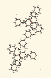 Cc1cc(-c2ccc(N(c3cccc(-c4ccccc4)c3)c3ccccc3-c3ccc4sc5ccccc5c4c3)c(C)c2)ccc1N(c1cccc(-c2ccccc2)c1)c1ccccc1-c1ccc2sc3ccccc3c2c1